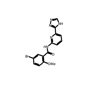 COc1ccc(Br)cc1C(=O)Nc1cccc(-c2nnc[nH]2)n1